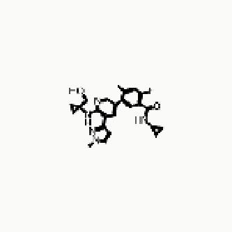 Cc1cc(F)c(C(=O)NC2CC2)cc1-c1cnc(NC2(CO)CC2)c(-c2ccn(C)n2)c1